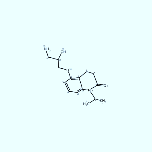 CC(C)N1C(=O)CCc2c(OCC(O)CN)cccc21